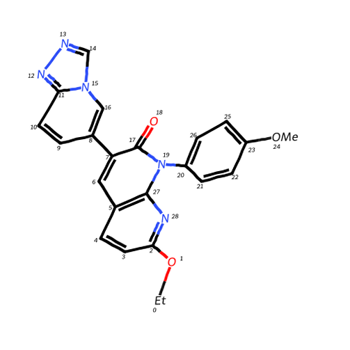 CCOc1ccc2cc(-c3ccc4nncn4c3)c(=O)n(-c3ccc(OC)cc3)c2n1